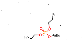 CCCCOP(=O)(OCCC(C)C)OCCC(C)C